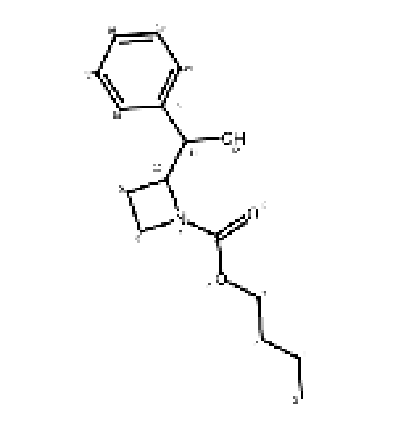 CCCCOC(=O)N1CCC1C(O)c1ccccc1